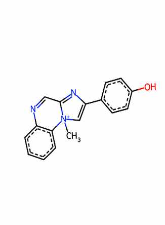 C[N+]12C=C(c3ccc(O)cc3)N=C1C=Nc1ccccc12